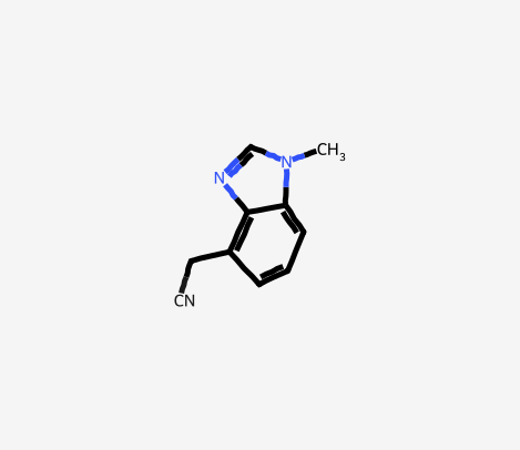 Cn1cnc2c(CC#N)cccc21